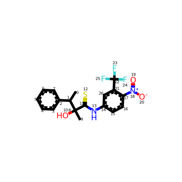 CC(c1ccccc1)C(C)(O)C(=S)Nc1ccc([N+](=O)[O-])c(C(F)(F)F)c1